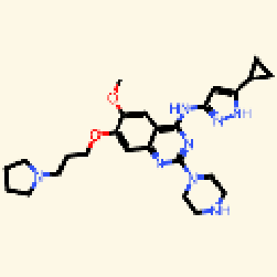 COc1cc2c(Nc3cc(C4CC4)[nH]n3)nc(N3CCNCC3)nc2cc1OCCCN1CCCC1